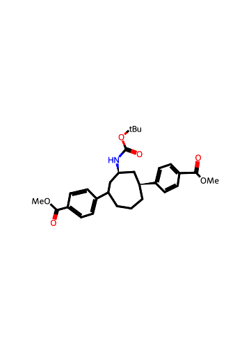 COC(=O)c1ccc(C2CCC[C@H](c3ccc(C(=O)OC)cc3)C[C@H](NC(=O)OC(C)(C)C)C2)cc1